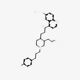 COc1ccc2nccc([C@@H](O)CCC3CCN(CCCc4ccc(C(F)(F)F)cc4)CC3CCC(=O)O)c2c1